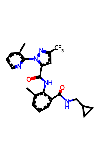 Cc1cccnc1-n1nc(C(F)(F)F)cc1C(=O)Nc1c(C)cccc1C(=O)NCC1CC1